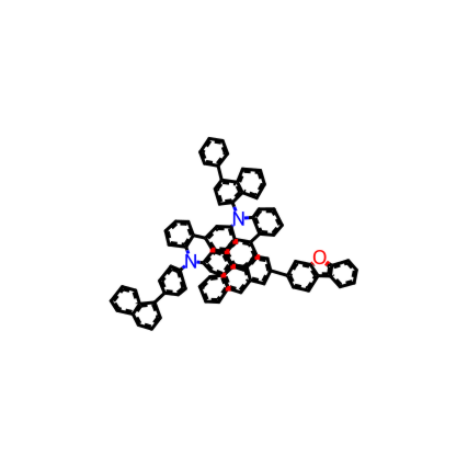 c1ccc(-c2ccc(-c3ccccc3N(c3cccc(-c4ccccc4N(c4ccc(-c5cccc6ccccc56)cc4)c4ccc5c(ccc6cc(-c7ccc8c(c7)oc7ccccc78)ccc65)c4)c3)c3ccc(-c4ccccc4)c4ccccc34)cc2)cc1